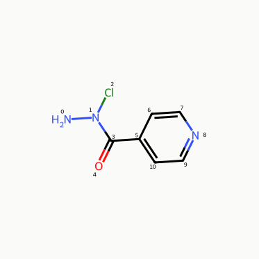 NN(Cl)C(=O)c1ccncc1